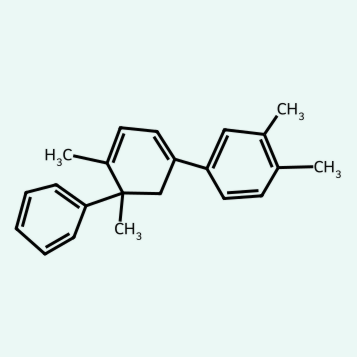 CC1=CC=C(c2ccc(C)c(C)c2)CC1(C)c1ccccc1